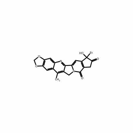 CCC1(O)C(=O)Cc2c1cc1n(c2=O)Cc2c-1nc1cc3c(cc1c2C)OCO3